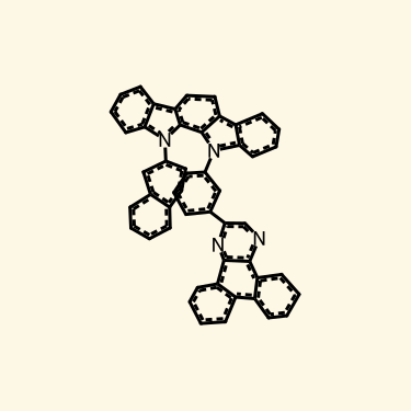 c1cc(-c2cnc3c4ccccc4c4ccccc4c3n2)cc(-n2c3ccccc3c3ccc4c5ccccc5n(-c5ccc6ccccc6c5)c4c32)c1